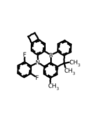 Cc1cc2c3c(c1)C(C)(C)c1ccccc1B3c1cc3c(cc1N2c1c(F)cccc1F)CC3